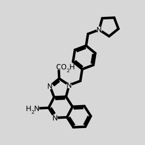 Nc1nc2ccccc2c2c1nc(C(=O)O)n2Cc1ccc(CN2CCCC2)cc1